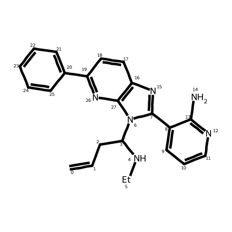 C=CCC(NCC)n1c(-c2cccnc2N)nc2ccc(-c3ccccc3)nc21